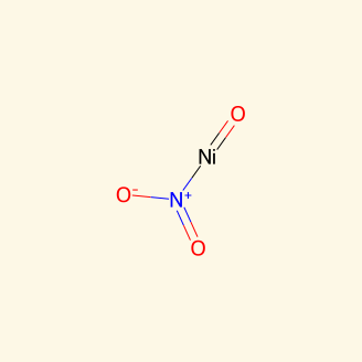 [O]=[Ni][N+](=O)[O-]